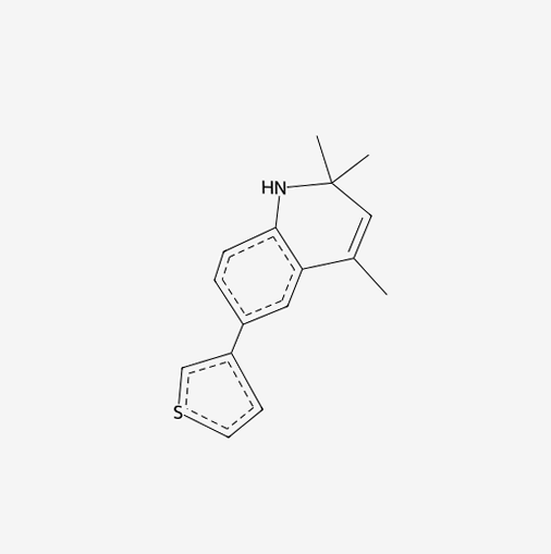 CC1=CC(C)(C)Nc2ccc(-c3ccsc3)cc21